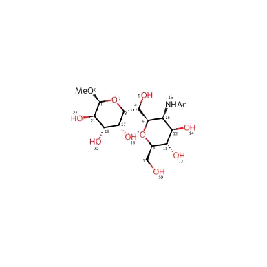 CO[C@H]1O[C@H](C(O)[C@@H]2O[C@H](CO)[C@@H](O)[C@H](O)[C@@H]2NC(C)=O)[C@H](O)[C@H](O)[C@H]1O